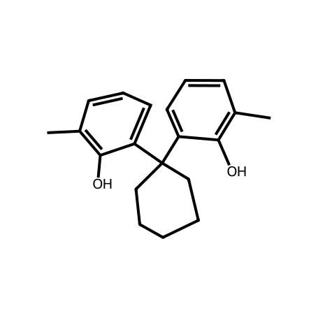 Cc1cccc(C2(c3cccc(C)c3O)CCCCC2)c1O